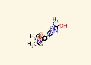 Cc1csc(-c2ccc(N3CCN(c4ncc(CO)c(C)n4)[C@H](C(C)C)C3)cc2S(C)(=O)=O)n1